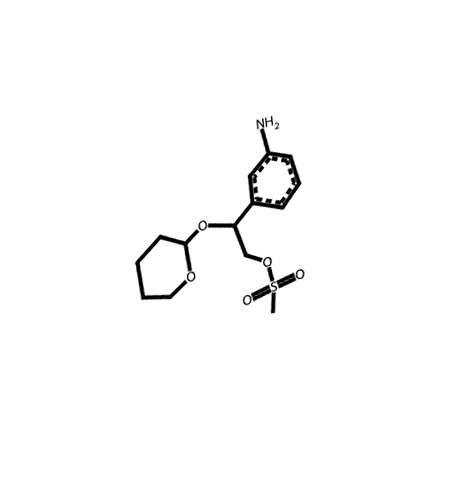 CS(=O)(=O)OCC(OC1CCCCO1)c1cccc(N)c1